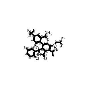 Cc1nn(CC(F)F)c2cc(-c3c(F)cc(C(F)(F)F)cc3C(N)=O)c3c(c12)C(=O)NC3(O)c1cc(F)ccc1Cl